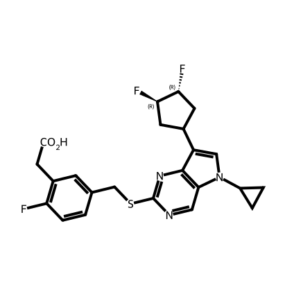 O=C(O)Cc1cc(CSc2ncc3c(n2)c(C2C[C@@H](F)[C@H](F)C2)cn3C2CC2)ccc1F